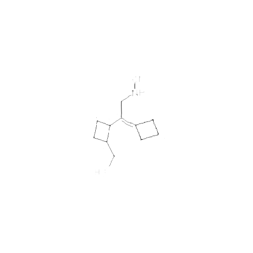 CCC1CCC1C(CNCl)=C1CCC1